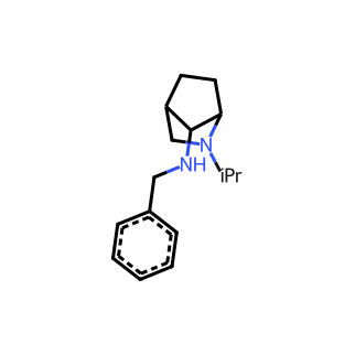 CC(C)N1CC2CCC1C2NCc1ccccc1